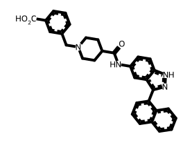 O=C(O)c1cccc(CN2CCC(C(=O)Nc3ccc4[nH]nc(-c5cccc6ccccc56)c4c3)CC2)c1